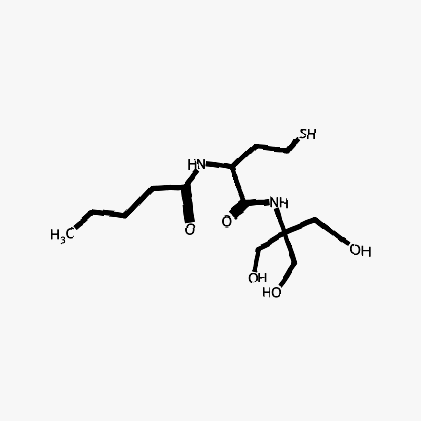 CCCCC(=O)NC(CCS)C(=O)NC(CO)(CO)CO